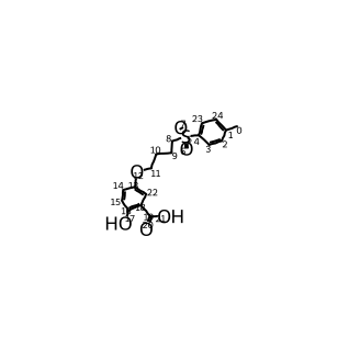 Cc1ccc(S(=O)(=O)CCCCOc2ccc(O)c(C(=O)O)c2)cc1